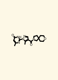 Cc1cc(=O)[nH]c(-n2ncc(C(=O)N3CCC4(CCOCC4)C3)c2C)n1